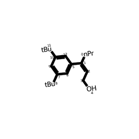 CCC/C(=C/CO)c1cc(C(C)(C)C)cc(C(C)(C)C)c1